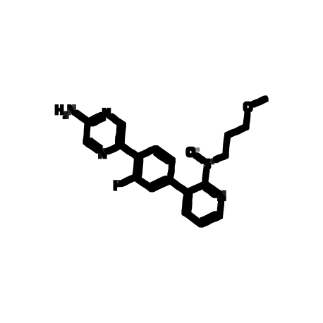 COCCC[S+]([O-])c1ncccc1-c1ccc(-c2cnc(N)cn2)c(F)c1